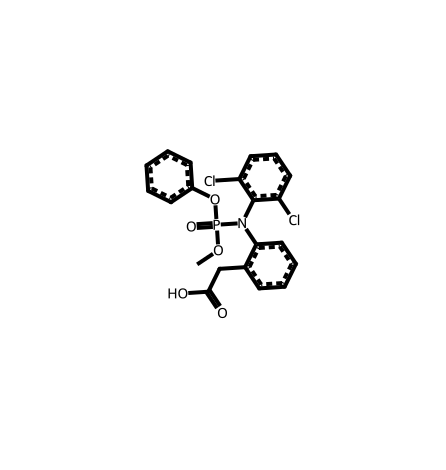 COP(=O)(Oc1ccccc1)N(c1ccccc1CC(=O)O)c1c(Cl)cccc1Cl